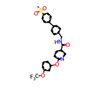 CS(=O)(=O)c1ccc(-c2ccc(CNC(=O)c3ccc(Oc4cccc(OC(F)(F)F)c4)nc3)cc2)cc1